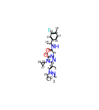 C=NN(/C=C(\C)c1nn(CC(=O)N[C@@H](C)c2ccc(C)c(F)c2)c(=O)n1C1CC1)CC(F)(F)F